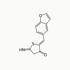 N=C1CC(=O)/C(=C/c2ccc3occc3c2)S1